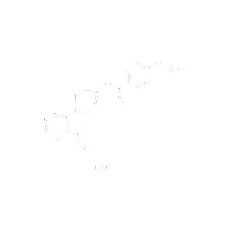 CCCCCCCCCCOc1ccc(C(=O)Oc2ccc(-c3ccccc3C(=O)OC[C@@H](C)CC)cc2)c(Cl)c1